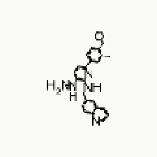 Cc1cc(-c2ccc(NN)c(NCc3ccc4ncccc4c3)n2)ccc1C=O